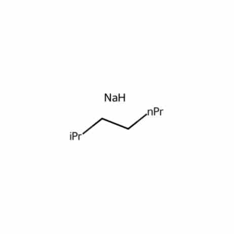 [CH2]CCCCC(C)C.[NaH]